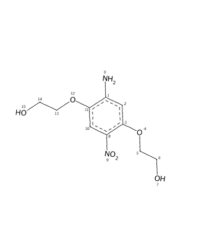 Nc1cc(OCCO)c([N+](=O)[O-])cc1OCCO